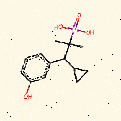 CC(C)(C(c1cccc(O)c1)C1CC1)P(=O)(O)O